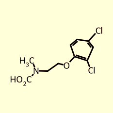 CN(CCOc1ccc(Cl)cc1Cl)C(=O)O